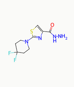 NNC(=O)c1csc(N2CCC(F)(F)CC2)n1